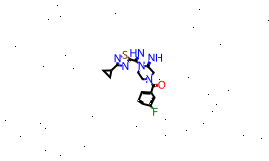 N=C1CN(C(=O)c2cccc(F)c2)CCN1C(=N)c1nc(C2CC2)ns1